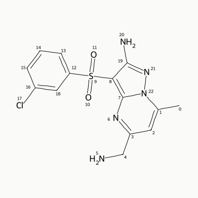 Cc1cc(CN)nc2c(S(=O)(=O)c3cccc(Cl)c3)c(N)nn12